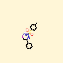 Cc1ccc(S(=O)(=O)NN=C(CI)c2ccccc2)cc1